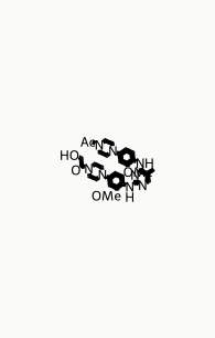 COc1cc(N2CCN(C(=O)CO)CC2)ccc1Nc1ncc(C)c(Nc2ccc(N3CCN(C(C)=O)CC3)cc2OC)n1